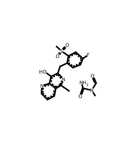 CN(C=O)C(N)=O.Cc1nc(Cc2ccc(F)cc2S(C)(=O)=O)c(O)c2ncccc12